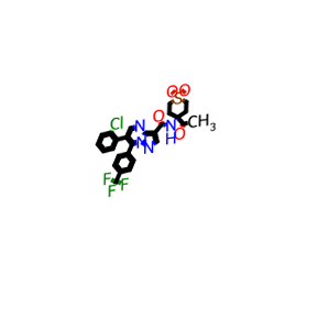 CC(=O)C1(NC(=O)c2cnn3c(-c4ccc(C(F)(F)F)cc4)c(-c4ccccc4Cl)cnc23)CCS(=O)(=O)CC1